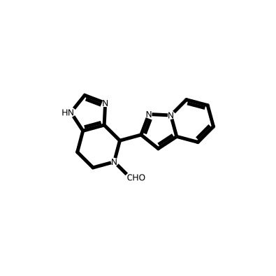 O=CN1CCc2[nH]cnc2C1c1cc2ccccn2n1